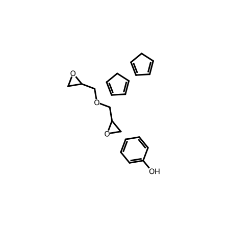 C(OCC1CO1)C1CO1.C1=CCC=C1.C1=CCC=C1.Oc1ccccc1